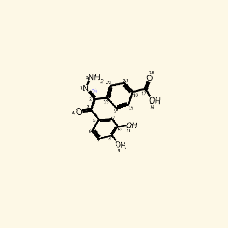 N/N=C(/C(=O)c1ccc(O)c(O)c1)c1ccc(C(=O)O)cc1